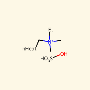 CCCCCCCC[N+](C)(C)CC.O=S(=O)(O)O